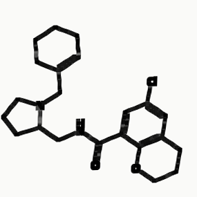 O=C(NCC1CCCN1CC1=CCCCC1)c1cc(Cl)cc2c1OCCC2